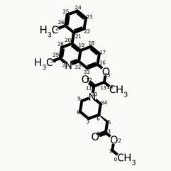 CCOC(=O)C[C@H]1CCCN(C(=O)C(C)Oc2ccc3c(-c4ccccc4C)cc(C)nc3c2)C1